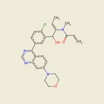 C=CC(=O)N(C)/C(=C\C)C(O)c1cc(-c2ncnc3cc(N4CCOCC4)ccc23)ccc1Cl